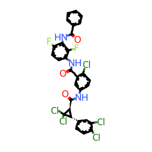 O=C(Nc1c(F)ccc(NC(=O)c2cc(NC(=O)[C@H]3[C@H](c4ccc(Cl)c(Cl)c4)C3(Cl)Cl)ccc2Cl)c1F)c1ccccc1